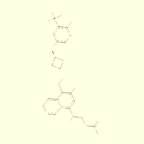 CC(=O)NCC(O)c1cc(F)c(CN[C@H]2C[C@H](Oc3ccc(F)c(C(F)(F)F)c3)C2)c2ccncc12